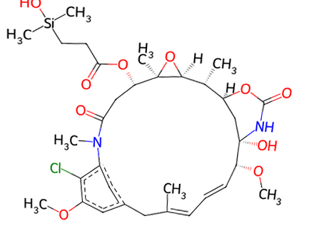 COc1cc2cc(c1Cl)N(C)C(=O)C[C@H](OC(=O)CC[Si](C)(C)O)[C@@]1(C)O[C@H]1[C@H](C)[C@@H]1C[C@@](O)(NC(=O)O1)[C@H](OC)/C=C/C=C(\C)C2